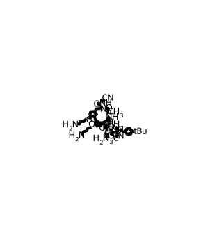 Cc1nc(-c2ccc(C(C)(C)C)cc2)nc(C)c1C(=O)N[C@@H](CCN)C(=O)N(C)[C@@H]1C(=O)N[C@@H](C)C(=O)N[C@H](C(=O)NCC#N)Cc2ccc(OCCCCN)c(c2)-c2cc1ccc2OCCCCN